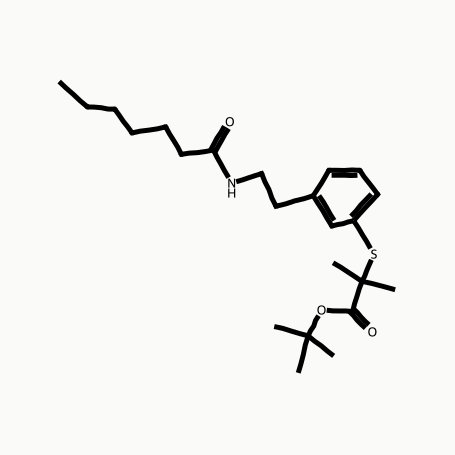 CCCCCCC(=O)NCCc1cccc(SC(C)(C)C(=O)OC(C)(C)C)c1